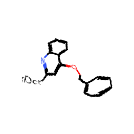 CCCCCCCCc1cc(OCc2ccccc2)c2ccccc2n1